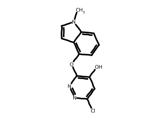 Cn1ccc2c(Oc3nnc(Cl)cc3O)cccc21